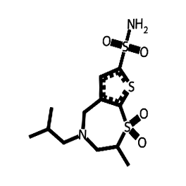 CC(C)CN1Cc2cc(S(N)(=O)=O)sc2S(=O)(=O)C(C)C1